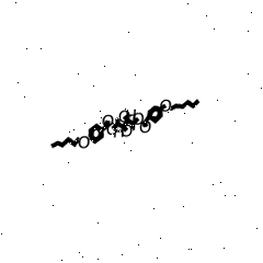 CCCCCCOc1ccc(C(=O)OC2CO[C@H]3C(OC(=O)c4ccc(OCCCCCC)cc4)CO[C@@H]23)cc1